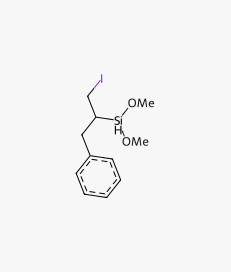 CO[SiH](OC)C(CI)Cc1ccccc1